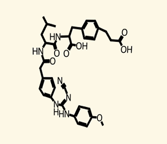 COc1ccc(NC(=NC#N)Nc2ccc(CC(=O)NC(CC(C)C)C(=O)NC(Cc3ccc(CCC(=O)O)cc3)C(=O)O)cc2)cc1